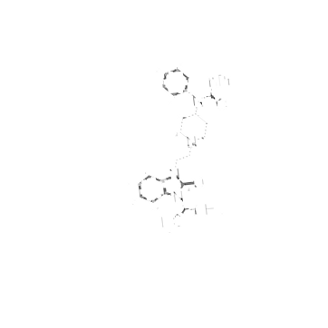 C=C(C)n1c(=O)n(CCN2CCC(N(C(=O)CCC)c3ccccc3)CC2)c2ccccc21